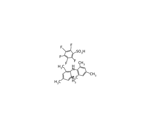 Cc1cc(C)c(Nc2c(C)cc(C)cc2C)c(C)c1.O=S(=O)(O)c1c(F)c(F)c(F)c(F)c1F